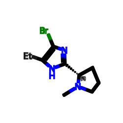 CCc1[nH]c([C@@H]2CCCN2C)nc1Br